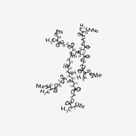 CSCC(C)C(=O)OCCOC(=O)CCN(CCNCCNCCN(CCC(=O)OCCOC(=O)C(C)CSC#N)CCN(CCC(=O)OCCOC(=O)C(C)CSC)CCC(=O)OCCOC(=O)C(C)CSC)CCC(=O)OCCOC(=O)C(C)CSC